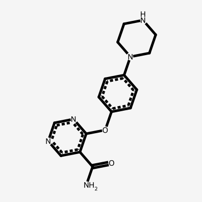 NC(=O)c1cncnc1Oc1ccc(N2CCNCC2)cc1